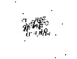 CCCN(CCCl)P(=O)(OCCS(=O)(=O)C[C@H](NC(=O)CC[C@H](N)C(=O)O)C(=O)N[C@@H](C(=O)O)c1ccccc1)N(CCCl)CCCl